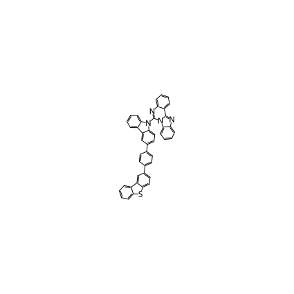 c1ccc2c(c1)nc(-n1c3ccccc3c3cc(-c4ccc(-c5ccc6sc7ccccc7c6c5)cc4)ccc31)n1c3ccccc3nc21